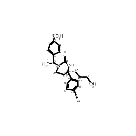 C[C@@H](c1ccc(C(=O)O)cc1)N1CC[C@](CCCO)(c2ccc(F)cc2)OC1=O